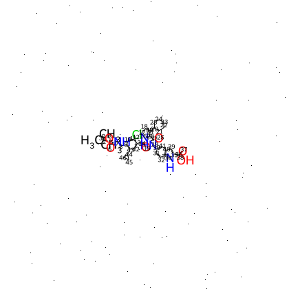 CC(C)(C)OC(=O)NCc1cc(Cl)c(C(=O)N2CC[C@@H](C3CCCCC3)[C@H]2C(=O)Nc2ccc3[nH]c(C(=O)O)cc3c2)cc1C1CC1